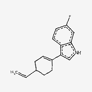 C=CC1CC=C(c2c[nH]c3cc(F)ccc23)CC1